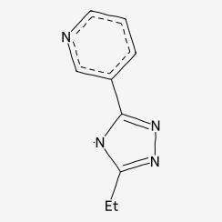 CCC1=NN=C(c2cccnc2)[N]1